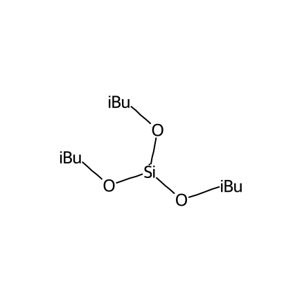 CCC(C)O[Si](OC(C)CC)OC(C)CC